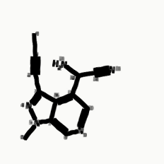 CC#Cc1nn(C)c2cncc(C(N)C#N)c12